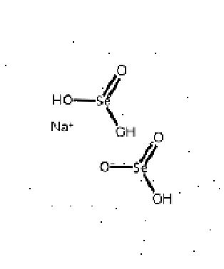 O=[Se](O)O.O=[Se]([O-])O.[Na+]